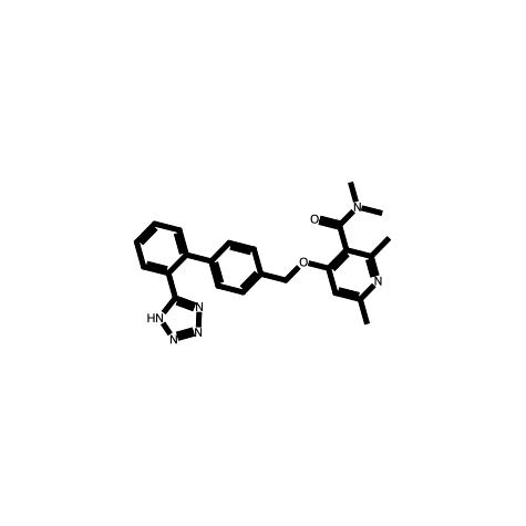 Cc1cc(OCc2ccc(-c3ccccc3-c3nnn[nH]3)cc2)c(C(=O)N(C)C)c(C)n1